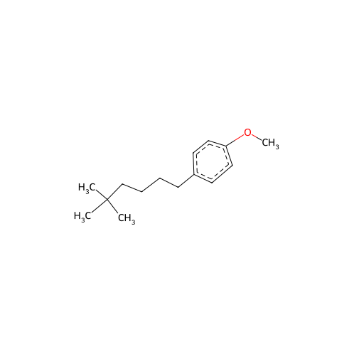 COc1ccc(CCCCC(C)(C)C)cc1